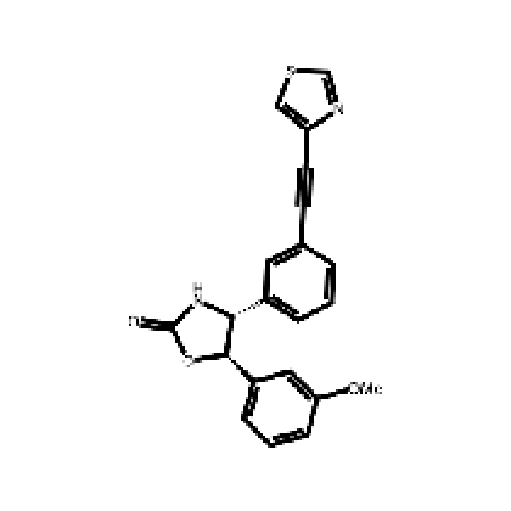 COc1cccc([C@H]2OC(=O)N[C@@H]2c2cccc(C#Cc3cscn3)c2)c1